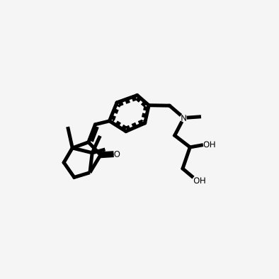 CN(Cc1ccc(C=C2C(=O)C3CCC2(C)C3(C)C)cc1)CC(O)CO